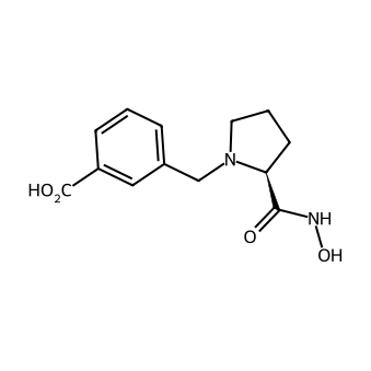 O=C(O)c1cccc(CN2CCC[C@H]2C(=O)NO)c1